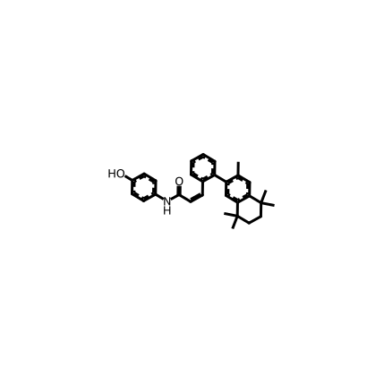 Cc1cc2c(cc1-c1ccccc1/C=C\C(=O)Nc1ccc(O)cc1)C(C)(C)CCC2(C)C